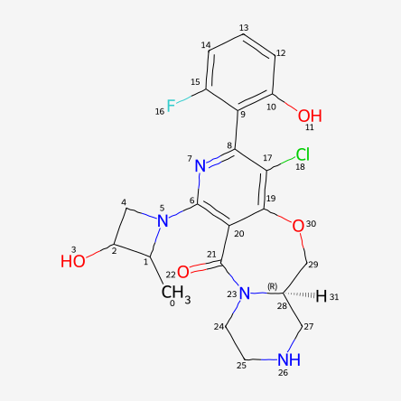 CC1C(O)CN1c1nc(-c2c(O)cccc2F)c(Cl)c2c1C(=O)N1CCNC[C@@H]1CO2